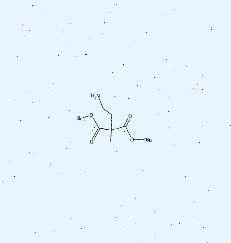 CC(C)(C)OC(=O)C(C)(CCN)C(=O)OBr